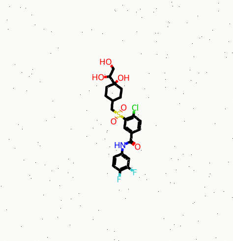 O=C(Nc1ccc(F)c(F)c1)c1ccc(Cl)c(S(=O)(=O)CC2CCC(O)(C(O)CO)CC2)c1